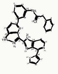 O=C(Cc1ccccc1)Nc1cncc(-c2ccc3[nH]nc(-c4nc5c(-c6cccs6)nccc5[nH]4)c3n2)c1